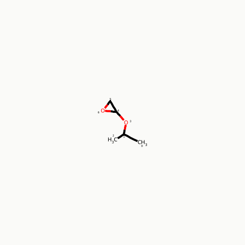 CC(C)OC1CO1